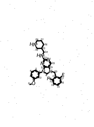 COc1cccc(N2CN(Cc3c(F)cccc3F)c3cnc(NCC4CCCNC4)nc32)c1